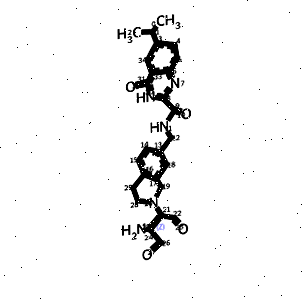 CC(C)c1ccc2nc(C(=O)NCc3ccc4c(c3)CN(/C(C=O)=C(\N)C=O)CC4)[nH]c(=O)c2c1